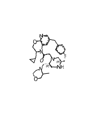 CC1COCCN1C[C@H]1CN[C@H](C)CN1CC(=O)N1c2cc(Cc3ccc(F)cc3)cnc2OCC1C1CC1